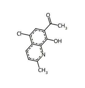 CC(=O)c1cc(Cl)c2ccc(C)nc2c1O